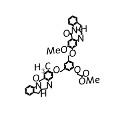 COC(=O)COc1cc(COc2cc3c(cc2C)C(=O)N2c4ccccc4C[C@H]2C=N3)cc(COc2cc3c(cc2OC)C(=O)N2c4ccccc4C[C@H]2C=N3)c1